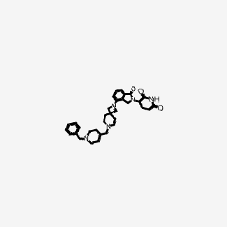 O=C1CCC(N2Cc3c(cccc3N3CC4(CCN(CC5CCN(Cc6ccccc6)CC5)CC4)C3)C2=O)C(=O)N1